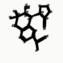 CC(=O)c1ccc2c(c1)[C@H](N1CCCC1=O)[C@@H](O)C(C)(C)O2